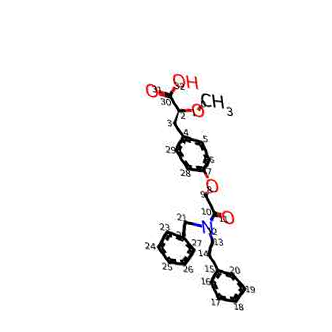 CO[C@@H](Cc1ccc(OCC(=O)N(CCc2ccccc2)Cc2ccccc2)cc1)C(=O)O